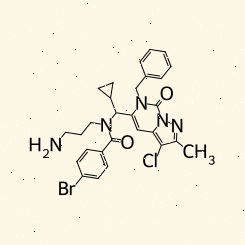 Cc1nn2c(=O)n(Cc3ccccc3)c(C(C3CC3)N(CCCN)C(=O)c3ccc(Br)cc3)cc2c1Cl